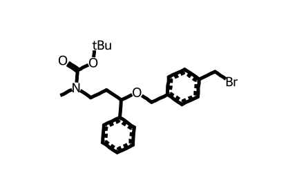 CN(CCC(OCc1ccc(CBr)cc1)c1ccccc1)C(=O)OC(C)(C)C